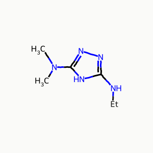 CCNc1nnc(N(C)C)[nH]1